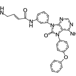 CNCC=CC(=O)Nc1cccc(-n2c(=O)n(-c3ccc(Oc4ccccc4)cc3)c3c(N)ncnc32)c1